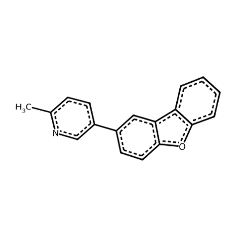 Cc1ccc(-c2ccc3oc4ccccc4c3c2)cn1